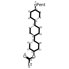 CCCCC[C@H]1CC[C@H]([C@H]2CC[C@H]([C@H]3CC[C@H](OC(=O)CC)CC3)CC2)CC1